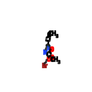 CCc1ccc(C2=CN3C(=O)c4cc(OC)c(OCCCBr)cc4N=CC3C2)cc1